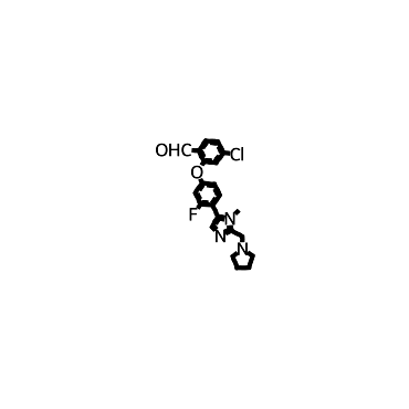 Cn1c(-c2ccc(Oc3cc(Cl)ccc3C=O)cc2F)cnc1CN1CCCC1